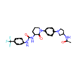 CC(=O)NC1CCN(c2ccc(N3CCCC(NC(=O)Nc4ccc(C(F)(F)F)cc4)C3=O)cc2)C1